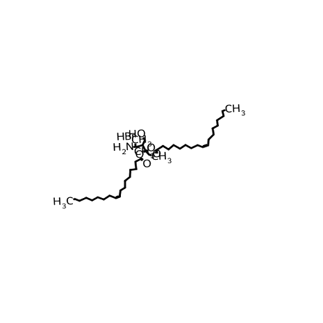 Br.CCCCCCCC/C=C\CCCCCCCC(=O)OC(CC)(OC(=O)CCCCCCC/C=C\CCCCCCCC)C(CO)C(C)(C)N